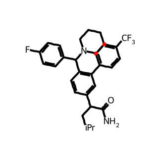 CC(C)CC(C(N)=O)c1ccc(C(c2ccc(F)cc2)N2CCCCC2)c(-c2ccc(C(F)(F)F)cc2)c1